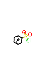 O=S(=O)(Cl)C1CC2CCC1CC2